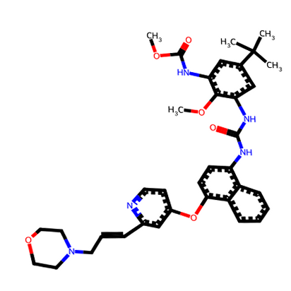 COC(=O)Nc1cc(C(C)(C)C)cc(NC(=O)Nc2ccc(Oc3ccnc(C=CCN4CCOCC4)c3)c3ccccc23)c1OC